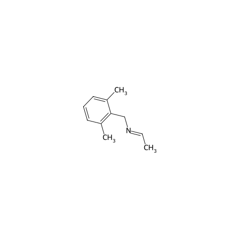 CC=NCc1c(C)cccc1C